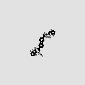 C=N/C=C(\NC1C[C@@H]2CCC[C@@H]2N1)c1ccc2c(c1)-c1ccc(-c3cnc([C@@H]4C[C@@H]5CCC[C@@H]5N4)[nH]3)cc1-2